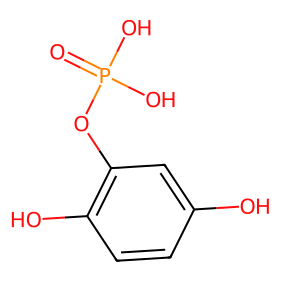 O=P(O)(O)Oc1cc(O)ccc1O